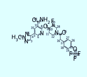 Cn1ncc(-c2cnc(O[C@@H]3CCN(C(=O)Cc4ccc(OC(F)(F)F)cc4)C[C@@H]3F)c(C(N)=O)c2)n1